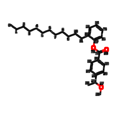 CCCCCCCCCCCCc1ccccc1OC(=O)c1ccc(C(C)OC)cc1